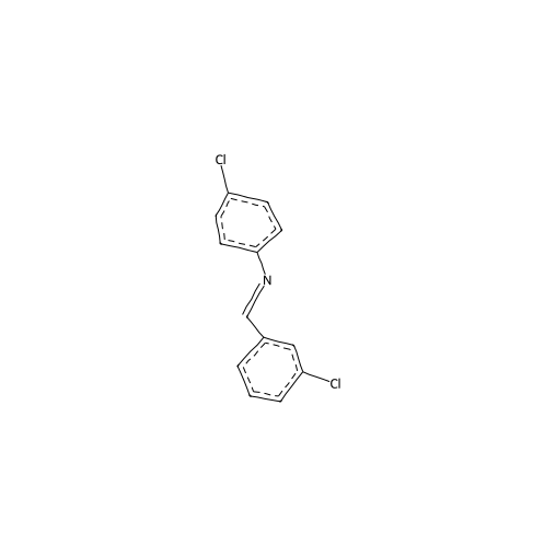 Clc1ccc(/N=C/c2cccc(Cl)c2)cc1